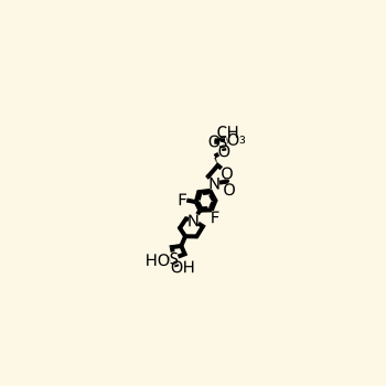 CS(=O)(=O)OC[C@H]1CN(c2cc(F)c(N3CCC(C4CS(O)(O)C4)CC3)c(F)c2)C(=O)O1